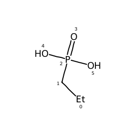 [CH2]CCP(=O)(O)O